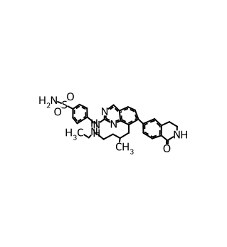 CCNCCC(C)Cc1c(-c2ccc3c(c2)CCNC3=O)ccc2cnc(Nc3ccc(S(N)(=O)=O)cc3)nc12